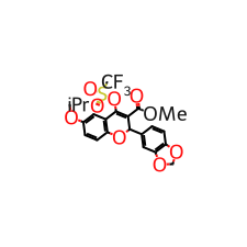 COC(=O)C1=C(OS(=O)(=O)C(F)(F)F)c2cc(OC(C)C)ccc2OC1c1ccc2c(c1)OCO2